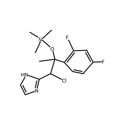 CC(O[Si](C)(C)C)(c1ccc(F)cc1F)C(Cl)c1ncc[nH]1